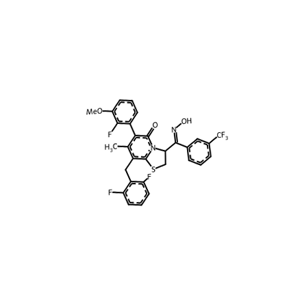 COc1cccc(-c2c(C)c(Cc3c(F)cccc3F)c3n(c2=O)C(C(=NO)c2cccc(C(F)(F)F)c2)CS3)c1F